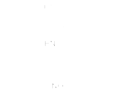 CC(C)C(=O)NCCN=O